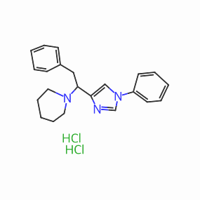 Cl.Cl.c1ccc(CC(c2cn(-c3ccccc3)cn2)N2CCCCC2)cc1